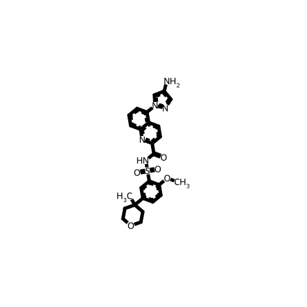 COc1ccc(C2(C)CCOCC2)cc1S(=O)(=O)NC(=O)c1ccc2c(-n3cc(N)cn3)cccc2n1